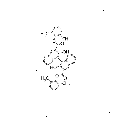 Cc1cccc(C)c1OC(=O)c1cc2ccccc2c(-c2c(O)c(C(=O)Oc3c(C)cccc3C)cc3ccccc23)c1O